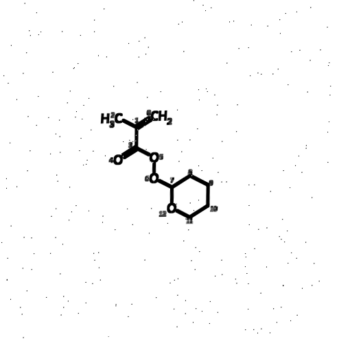 C=C(C)C(=O)OOC1CCCCO1